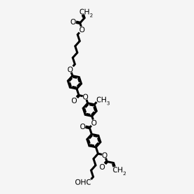 C=CC(=O)OCCCCCCOc1ccc(C(=O)Oc2ccc(OC(=O)c3ccc(C(CCCCC=O)OC(=O)C=C)cc3)cc2C)cc1